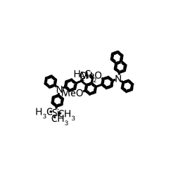 C=Cc1c(-c2ccc(N(c3ccccc3)c3ccc4ccccc4c3)cc2OC)ccc(OC)c1C(=C)c1ccc(N(c2ccccc2)c2ccc([Si](C)(C)C)cc2)cc1